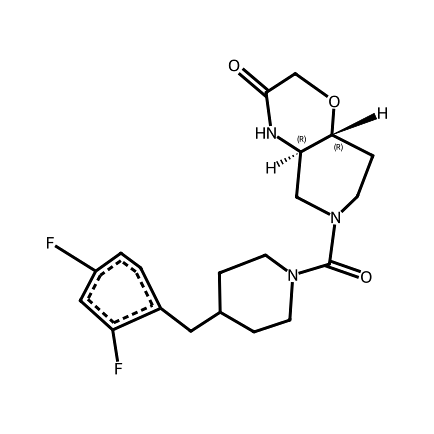 O=C1CO[C@@H]2CCN(C(=O)N3CCC(Cc4ccc(F)cc4F)CC3)C[C@H]2N1